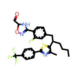 CCCCC(Cc1ccc(C2=NOC(C=O)N2)c(F)c1)c1sc(-c2ccc(C(F)(F)F)cc2)nc1C